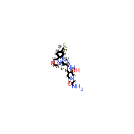 NC(=O)CN1CCC(CNc2ncnc(N3CCOCC3c3ccc(C(F)(F)F)cc3)c2F)C(O)C1